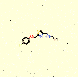 CC(C)CNCc1csc(COc2ccc(F)cc2)n1